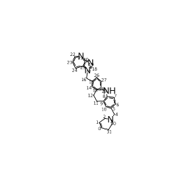 C1=CCN(Cc2ccc3c(c2)CCc2cc(Cn4cnc5ncccc54)ccc2N3)CC1